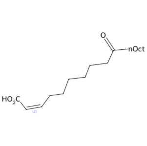 CCCCCCCCC(=O)CCCCCC/C=C\C(=O)O